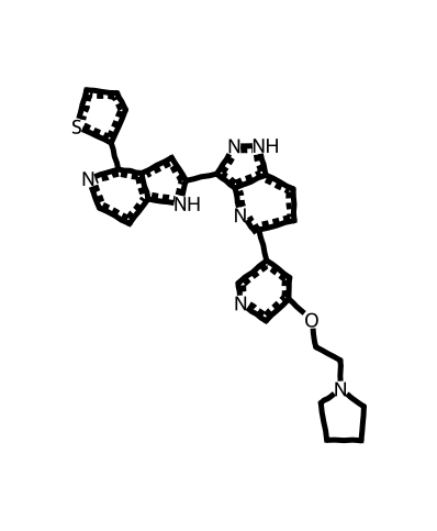 c1csc(-c2nccc3[nH]c(-c4n[nH]c5ccc(-c6cncc(OCCN7CCCC7)c6)nc45)cc23)c1